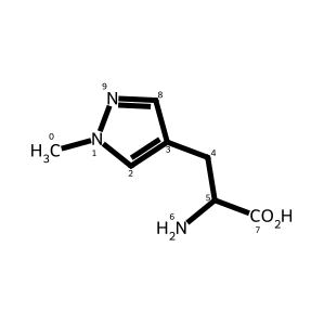 Cn1cc(CC(N)C(=O)O)cn1